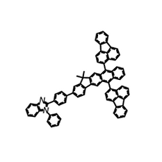 CC1(C)c2cc(-c3ccc(-c4nc5ccccc5n4-c4ccccc4)cc3)ccc2-c2cc3c(-c4ccc5c6c(cccc46)-c4ccccc4-5)c4ccccc4c(-c4ccc5c6c(cccc46)-c4ccccc4-5)c3cc21